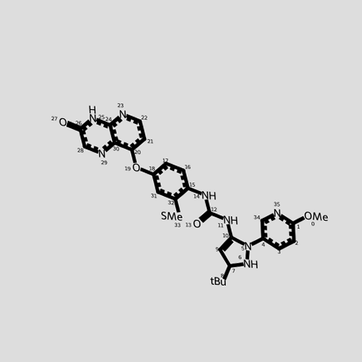 COc1ccc(N2NC(C(C)(C)C)C=C2NC(=O)Nc2ccc(Oc3ccnc4[nH]c(=O)cnc34)cc2SC)cn1